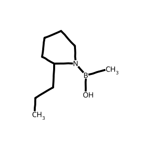 CCCC1CCCCN1B(C)O